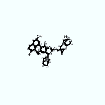 C#Cc1c(F)ccc2cc(O)cc(-c3c(C)cc4c(N5CC6CCC(C5)N6)nc(OCC5(CN6C[C@@H]7C[C@H]6CO7)CC5)nc4c3F)c12